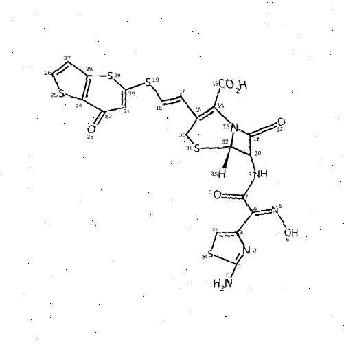 Nc1nc(C(=NO)C(=O)NC2C(=O)N3C(C(=O)O)=C(C=CSc4cc(=O)c5sccc5s4)CS[C@@H]23)cs1